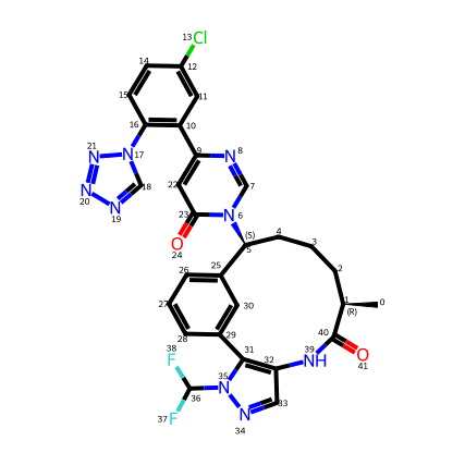 C[C@@H]1CCC[C@H](n2cnc(-c3cc(Cl)ccc3-n3cnnn3)cc2=O)c2cccc(c2)-c2c(cnn2C(F)F)NC1=O